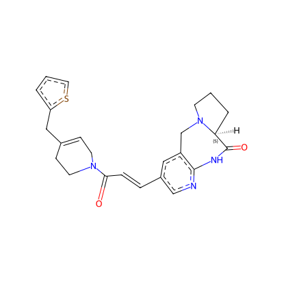 O=C1Nc2ncc(C=CC(=O)N3CC=C(Cc4cccs4)CC3)cc2CN2CCC[C@@H]12